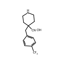 Cl.N#CC1(Cc2ccc(C(F)(F)F)cc2)CCNCC1